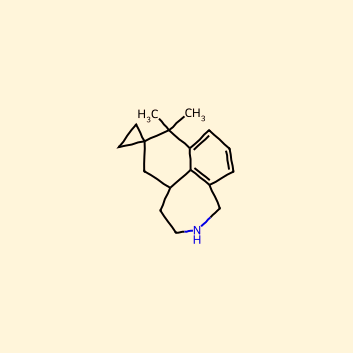 CC1(C)c2cccc3c2C(CCNC3)CC12CC2